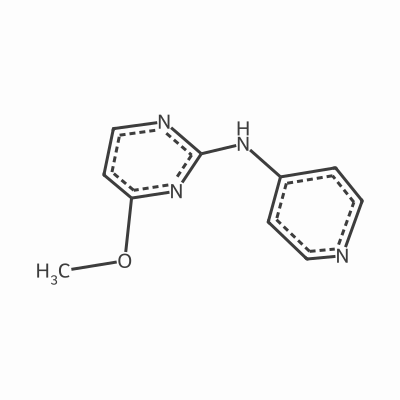 COc1ccnc(Nc2ccncc2)n1